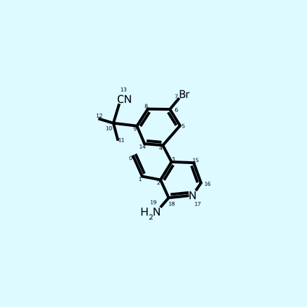 C=Cc1c(-c2cc(Br)cc(C(C)(C)C#N)c2)ccnc1N